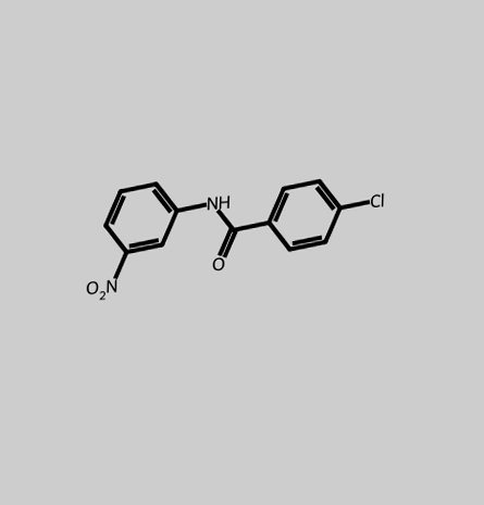 O=C(Nc1cccc([N+](=O)[O-])c1)c1ccc(Cl)cc1